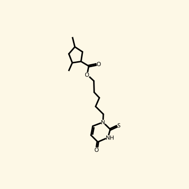 CC1CC(C)C(C(=O)OCCCCCn2ccc(=O)[nH]c2=S)C1